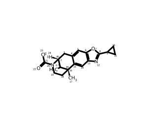 CC1[C@H]2Cc3cc4oc(C5CC5)nc4cc3[C@]1(C)CCN2C(=O)C(F)(F)F